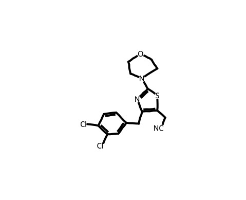 N#CCc1sc(N2CCOCC2)nc1Cc1ccc(Cl)c(Cl)c1